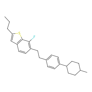 CCCc1cc2ccc(CCc3ccc(C4CCC(C)CC4)cc3)c(F)c2s1